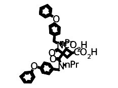 CCCN(Cc1ccc(Oc2ccccc2)cc1)C(=O)C1(C(=O)N(CCC)Cc2ccc(Oc3ccccc3)cc2)CC(C(=O)O)C1C(=O)O